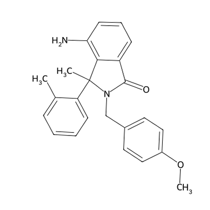 COc1ccc(CN2C(=O)c3cccc(N)c3C2(C)c2ccccc2C)cc1